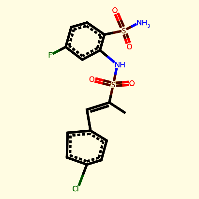 C/C(=C\c1ccc(Cl)cc1)S(=O)(=O)Nc1cc(F)ccc1S(N)(=O)=O